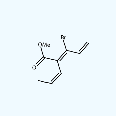 C=C/C(Br)=C(\C=C/C)C(=O)OC